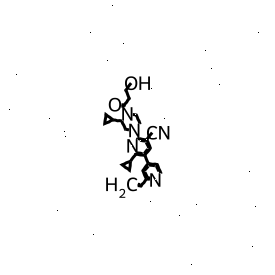 C=Cc1cc(-c2cc(C#N)c(N3CCN(C(=O)CCO)C(C4CC4)C3)nc2C2CC2)ccn1